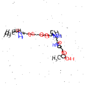 C=C(CCOCCOCCCCCOCCOCCCCCNC(=O)CC(C)(C)C)NCCCCCC(=O)Nc1ccc(CCOC2CC(C)CC(O)C2)cc1